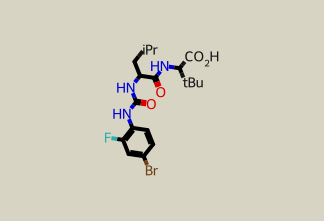 CC(C)CC(NC(=O)Nc1ccc(Br)cc1F)C(=O)NC(C(=O)O)C(C)(C)C